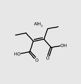 CC/C(C(=O)O)=C(\CC)C(=O)O.[AlH3]